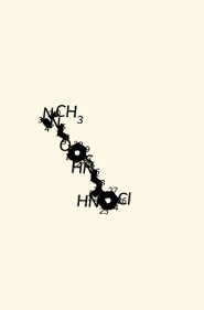 Cc1nccn1CCCOc1ccc(SNCCCc2c[nH]c3ccc(Cl)cc23)cc1